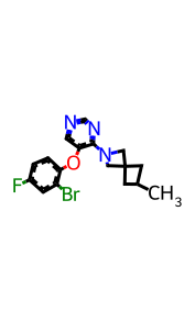 CC1CC2(C1)CN(c1ncncc1Oc1ccc(F)cc1Br)C2